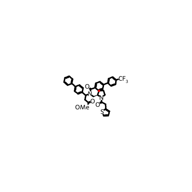 COC(=O)CC(c1ccc(-c2ccccc2)cc1)N(C[C@H]1CCCN1C(=O)Cc1cccs1)C(=O)c1ccc(-c2ccc(C(F)(F)F)cc2)cc1